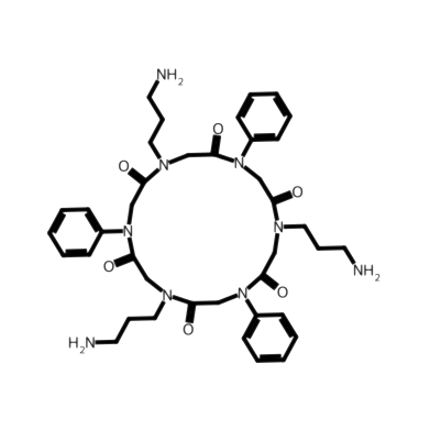 NCCCN1CC(=O)N(c2ccccc2)CC(=O)N(CCCN)CC(=O)N(c2ccccc2)CC(=O)N(CCCN)CC(=O)N(c2ccccc2)CC1=O